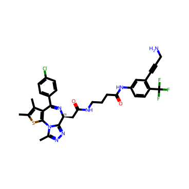 Cc1sc2c(c1C)C(c1ccc(Cl)cc1)=N[C@@H](CC(=O)NCCCC(=O)Nc1ccc(C(F)(F)F)c(C#CCN)c1)c1nnc(C)n1-2